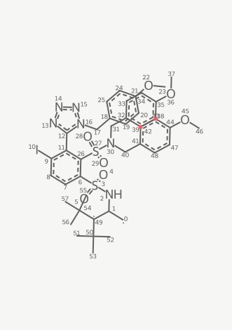 [CH2]C(NS(=O)(=O)c1ccc(I)c(-c2nnnn2Cc2ccc(OC)cc2)c1S(=O)(=O)N(Cc1ccc(OC)cc1)Cc1ccc(OC)cc1)[C](C(C)(C)C)C(C)(C)C